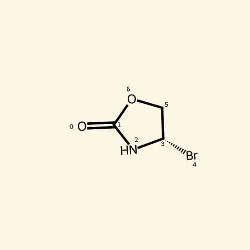 O=C1N[C@@H](Br)CO1